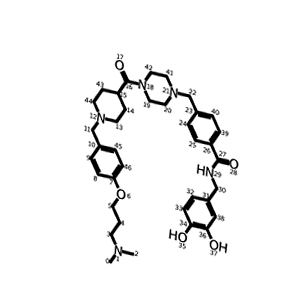 CN(C)CCCOc1ccc(CN2CCC(C(=O)N3CCN(Cc4ccc(C(=O)NCc5ccc(O)c(O)c5)cc4)CC3)CC2)cc1